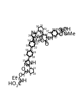 CC[C@@H](NC(=O)O)OCC(=O)N1CCC[C@@H]1c1ncc(-c2ccc(-c3ccc(-c4cnc([C@@H]5CCCN5C(=O)[C@H](Cc5ccc(OP(=O)(O)OC)cc5)NC(=O)OC)[nH]4)cc3)cc2)[nH]1